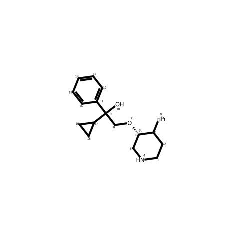 CCCC1CCNC[C@@H]1OCC(O)(c1ccccc1)C1CC1